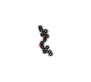 c1ccc2cc(-c3c4ccccc4c(-c4ccc5oc6ccc(-c7ccc8c(c7)oc7c(-c9c%10ccccc%10c(-c%10ccc%11ccccc%11c%10)c%10ccccc9%10)cccc78)cc6c5c4)c4ccccc34)ccc2c1